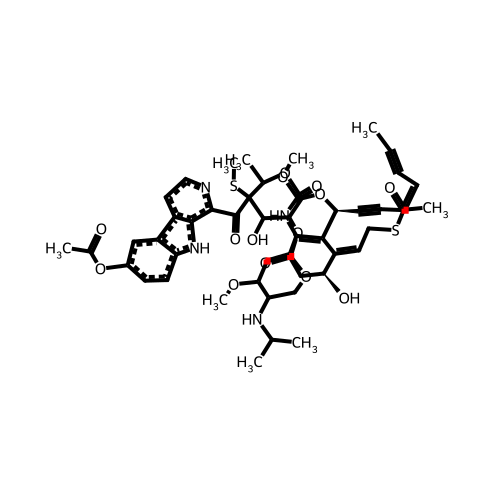 CC#C/C=C\C#C[C@H](OC1OC(C)C(SC)(C(=O)c2nccc3c2[nH]c2ccc(OC(C)=O)cc23)C(O)C1OC1CC(OC)C(NC(C)C)CO1)C1=C(NC(=O)OC)C(=O)C[C@H](O)/C1=C/CSC(C)=O